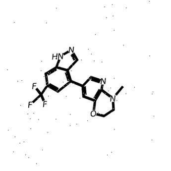 CN1CCOc2cc(-c3cc(C(F)(F)F)cc4[nH]ncc34)cnc21